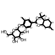 Cc1cc(C2OC3CC(C)CCC3C(C)(C)O2)ccc1OC1OC(CO)C(O)C(O)C1O